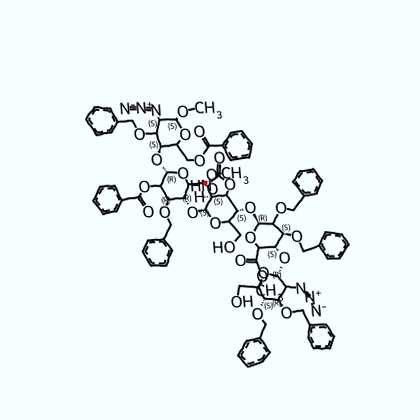 COC(=O)C1O[C@@H](O[C@@H]2C(CO)O[C@@H](O[C@H]3C(C(=O)OC)O[C@@H](O[C@@H]4C(COC(=O)c5ccccc5)O[C@H](OC)[C@@H](N=[N+]=[N-])C4OCc4ccccc4)C(OC(=O)c4ccccc4)[C@@H]3OCc3ccccc3)[C@H]3NC(=O)OC23)C(OCc2ccccc2)[C@@H](OCc2ccccc2)[C@@H]1O[C@H]1OC(CO)[C@@H](OCc2ccccc2)[C@H](OCc2ccccc2)C1N=[N+]=[N-]